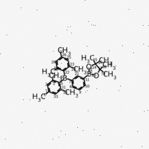 Cc1cc(C)c(B(c2cccc(B3OC(C)(C)C(C)(C)O3)c2)c2c(C)cc(C)cc2C)c(C)c1